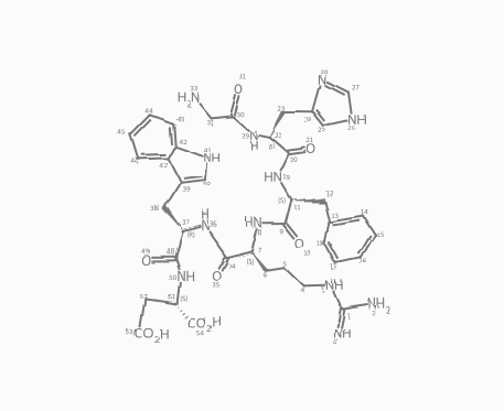 N=C(N)NCCC[C@H](NC(=O)[C@H](Cc1ccccc1)NC(=O)[C@H](Cc1c[nH]cn1)NC(=O)CN)C(=O)N[C@H](Cc1c[nH]c2ccccc12)C(=O)N[C@@H](CC(=O)O)C(=O)O